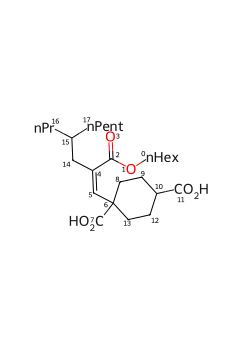 CCCCCCOC(=O)C(=CC1(C(=O)O)CCC(C(=O)O)CC1)CC(CCC)CCCCC